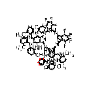 Cc1ccccc1Nc1c(Nc2ccccc2C)c(Nc2ccccc2C)c2c(c1Nc1ccccc1C)-c1nc-2nc2[nH]c(nc3nc(nc4[nH]c(n1)c1c(F)c(F)c(F)c(F)c41)-c1c(F)c(F)c(F)c(F)c1-3)c1c(Nc3ccccc3C)c(Nc3ccccc3C)c(Nc3ccccc3C)c(Nc3ccccc3C)c21